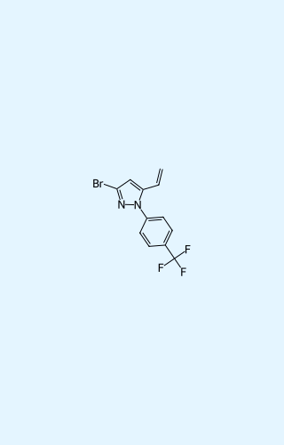 C=Cc1cc(Br)nn1-c1ccc(C(F)(F)F)cc1